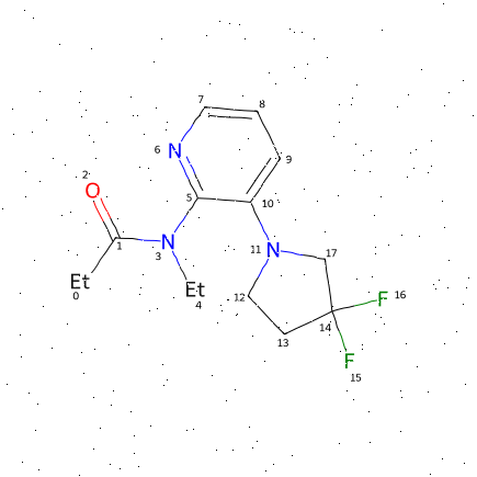 CCC(=O)N(CC)c1ncccc1N1CCC(F)(F)C1